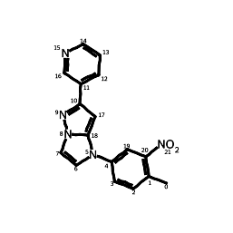 Cc1ccc(-n2ccn3nc(-c4cccnc4)cc23)cc1[N+](=O)[O-]